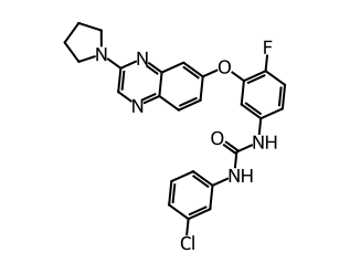 O=C(Nc1cccc(Cl)c1)Nc1ccc(F)c(Oc2ccc3ncc(N4CCCC4)nc3c2)c1